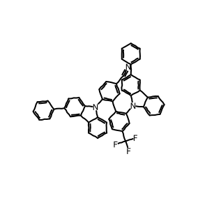 N#Cc1ccc(-n2c3ccccc3c3cc(-c4ccccc4)ccc32)c(-c2ccc(C(F)(F)F)cc2-n2c3ccccc3c3cc(-c4ccccc4)ccc32)c1